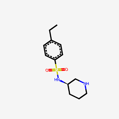 CCc1ccc(S(=O)(=O)N[C@@H]2CCCNC2)cc1